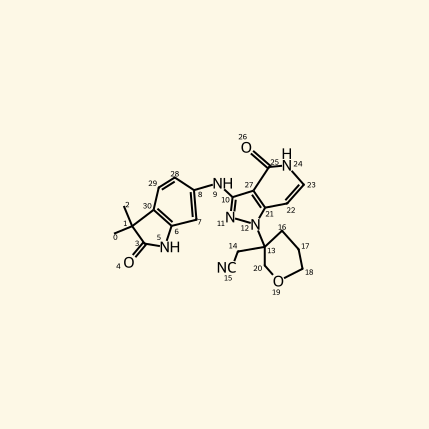 CC1(C)C(=O)Nc2cc(Nc3nn(C4(CC#N)CCCOC4)c4cc[nH]c(=O)c34)ccc21